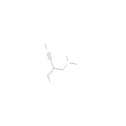 C/C=C(/C#[N+]C)CN(C)C